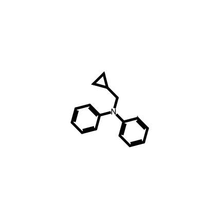 [c]1ccccc1N(CC1CC1)c1ccccc1